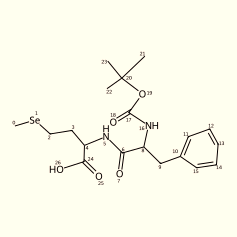 C[Se]CCC(NC(=O)C(Cc1ccccc1)NC(=O)OC(C)(C)C)C(=O)O